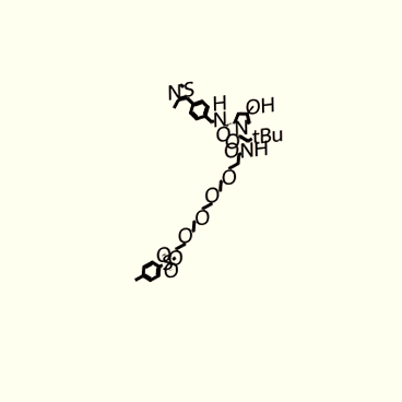 Cc1ccc(S(=O)(=O)OCCOCCOCCOCCOCCC(=O)NC(C(=O)N2C[C@H](O)C[C@H]2C(=O)NCc2ccc(-c3scnc3C)cc2)C(C)(C)C)cc1